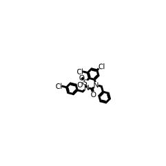 O=C1N(Cc2ccccc2)c2cc(Cl)cc(Cl)c2S(=O)(=O)N1Cc1ccc(Cl)cc1